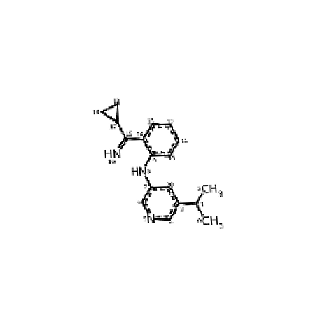 CC(C)c1cncc(Nc2ccccc2C(=N)C2CC2)c1